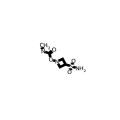 C=NC(=O)ON1CC(S(N)(=O)=O)C1